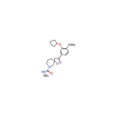 CCCCNC(=O)N1CCCC2(CC(c3ccc(OC)c(OC4CCCC4)c3)=NO2)C1